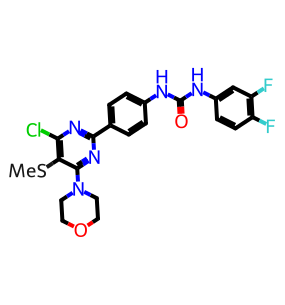 CSc1c(Cl)nc(-c2ccc(NC(=O)Nc3ccc(F)c(F)c3)cc2)nc1N1CCOCC1